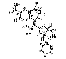 COc1c(N2C[C@@H]3ON=C(c4ccccn4)[C@@H]3C2)c(F)cc2c(=O)c(C(=O)O)cn(C3CC3)c12